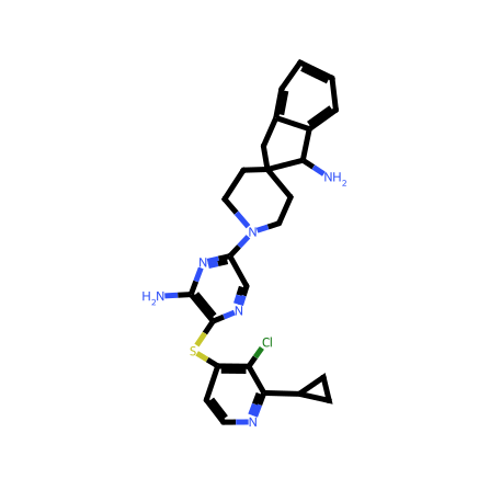 Nc1nc(N2CCC3(CC2)Cc2ccccc2C3N)cnc1Sc1ccnc(C2CC2)c1Cl